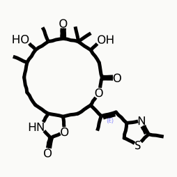 CC1=NC(/C=C(\C)C2CC3OC(=O)NC3CCCC(C)C(O)C(C)C(=O)C(C)(C)C(O)CC(=O)O2)CS1